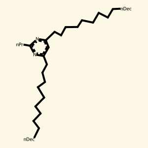 [CH2]CCc1nc(CCCCCCCCCCCCCCCCCCC)cc(CCCCCCCCCCCCCCCCCCC)n1